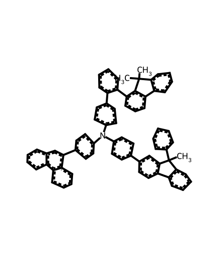 CC1(C)c2ccccc2-c2cccc(-c3ccccc3-c3ccc(N(c4ccc(-c5ccc6c(c5)C(C)(c5ccccc5)c5ccccc5-6)cc4)c4ccc(-c5cc6ccccc6c6ccccc56)cc4)cc3)c21